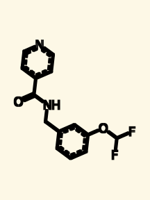 O=C(NCc1cccc(OC(F)F)c1)c1ccncc1